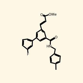 COC(=O)/C=C/c1cc(C(=O)NCc2ccc(C)cc2)cc(-c2cccc(F)c2)c1